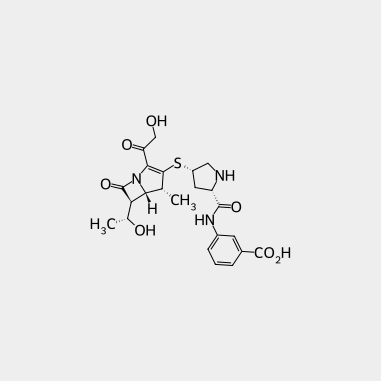 C[C@@H](O)[C@H]1C(=O)N2C(C(=O)CO)=C(S[C@@H]3CN[C@H](C(=O)Nc4cccc(C(=O)O)c4)C3)[C@H](C)[C@H]12